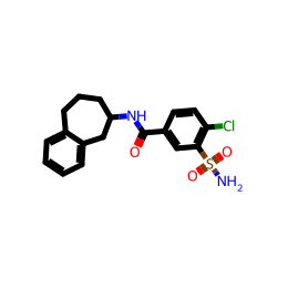 NS(=O)(=O)c1cc(C(=O)NC2CCCc3ccccc3C2)ccc1Cl